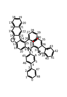 c1ccc(-c2ccc(N(c3ccc4oc5cc6ccccc6cc5c4c3-c3ccccc3)c3cccc4c3sc3ccccc34)cc2)cc1